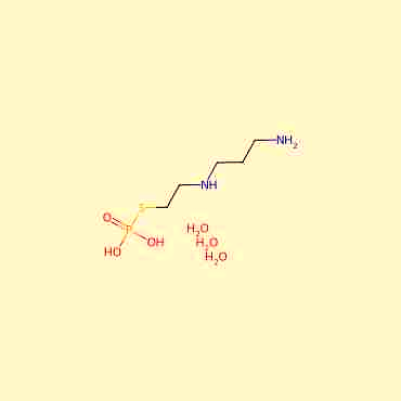 NCCCNCCSP(=O)(O)O.O.O.O